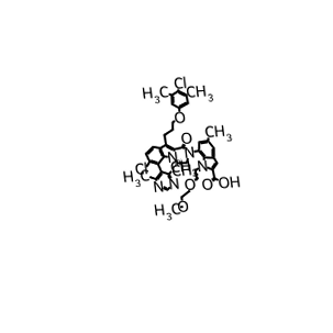 COCCOCCn1c(C(=O)O)cc2cc(C)cc(N3C[C@@H](C)n4c(c(CCCOc5cc(C)c(Cl)c(C)c5)c5ccc(Cl)c(-c6c(C)ncnc6C)c54)C3=O)c21